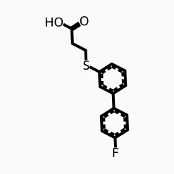 O=C(O)CCSc1cccc(-c2ccc(F)cc2)c1